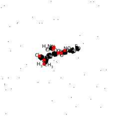 CC1(C)CCC(CN2CCN(c3ccc(C(=O)NS(=O)(=O)c4ccc(OCC5CCN(C6COC6F)CC5)c([N+](=O)[O-])c4)c(Oc4cnc(N)c(Cl)c4)c3)CC2)=C(c2ccc(Cl)cc2)C1